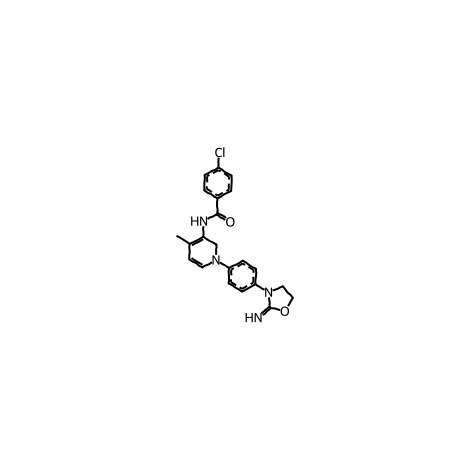 CC1=C(NC(=O)c2ccc(Cl)cc2)CN(c2ccc(N3CCOC3=N)cc2)C=C1